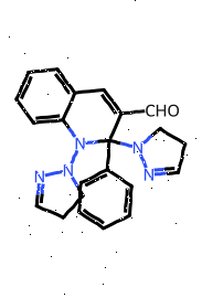 O=CC1=Cc2ccccc2N(N2CCC=N2)C1(c1ccccc1)N1CCC=N1